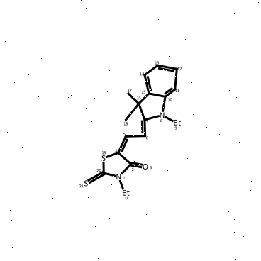 CCN1C(=O)C(=CC=C2N(CC)c3ccccc3C2(C)C)SC1=S